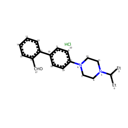 CCC(CC)N1CCN(c2ccc(-c3ccccc3C=O)cc2)CC1.Cl